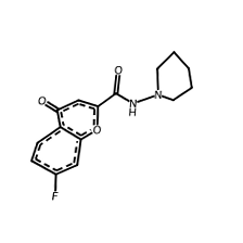 O=C(NN1CCCCC1)c1cc(=O)c2ccc(F)cc2o1